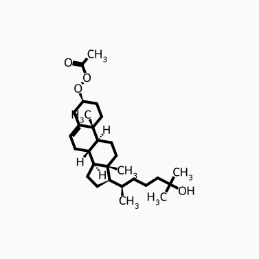 CC(=O)OO[C@H]1CC[C@@]2(C)C(=CC[C@H]3[C@@H]4CC[C@H]([C@H](C)CCCC(C)(C)O)[C@@]4(C)CC[C@@H]32)C1